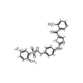 Cc1ccccc1C(=O)c1cnc(Nc2ccc(CNS(=O)(=O)c3cc(F)ccc3C)cc2)s1